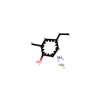 Br.CCc1ccc(O)c(C)c1.N